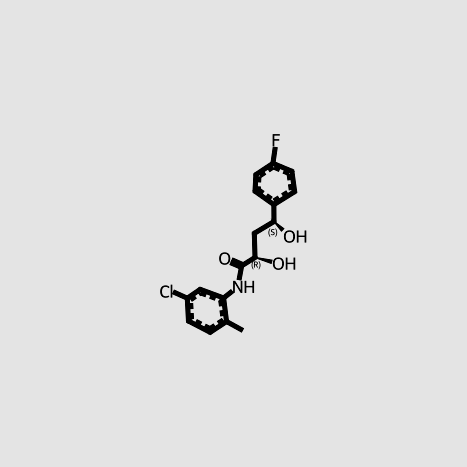 Cc1ccc(Cl)cc1NC(=O)[C@H](O)C[C@H](O)c1ccc(F)cc1